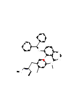 C=C/C(=C\N=C)Cc1ccc(N(C)c2ncnc3cc(CCCC)c(N=C(c4ccccc4)c4ccccc4)c(P)c23)cc1C